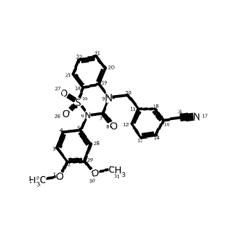 COc1ccc(N2C(=O)N(Cc3cccc(C#N)c3)c3ccccc3S2(=O)=O)cc1OC